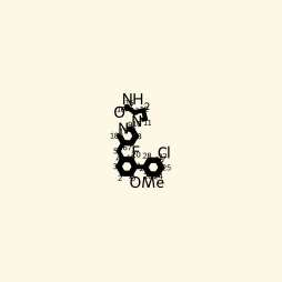 COc1ccc(Cc2ccc(N3CCC3C(N)=O)nc2)c(F)c1-c1cccc(Cl)c1